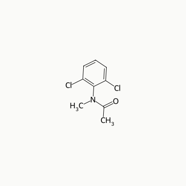 CC(=O)N(C)c1c(Cl)cccc1Cl